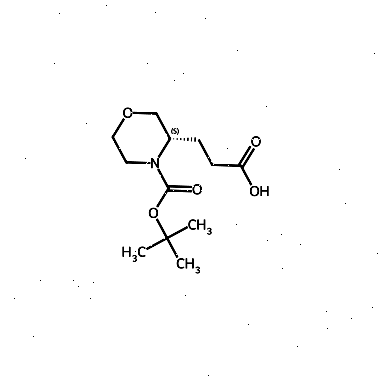 CC(C)(C)OC(=O)N1CCOC[C@@H]1CCC(=O)O